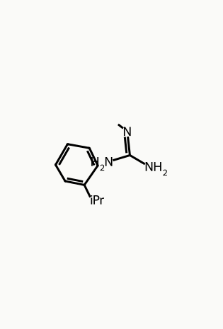 CC(C)c1ccccc1.CN=C(N)N